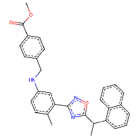 COC(=O)c1ccc(CNc2ccc(C)c(-c3noc(C(C)c4cccc5ccccc45)n3)c2)cc1